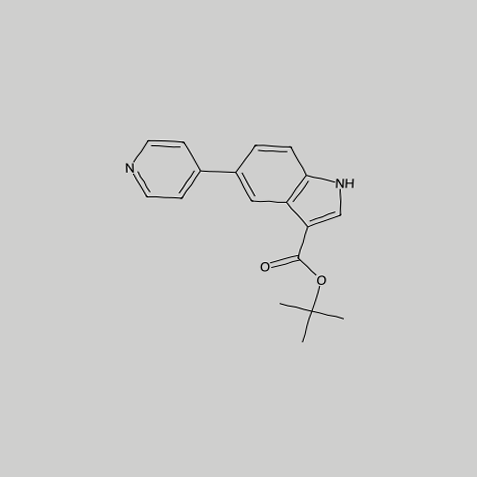 CC(C)(C)OC(=O)c1c[nH]c2ccc(-c3ccncc3)cc12